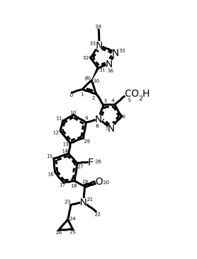 CC1=C(c2c(C(=O)O)cnn2-c2cccc(-c3cccc(C(=O)N(C)CC4CC4)c3F)c2)[C@@H]1c1cn(C)nn1